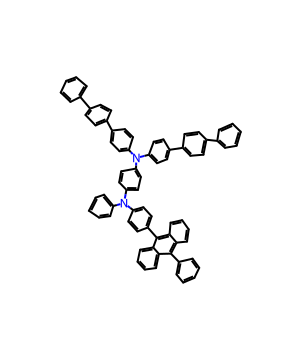 c1ccc(-c2ccc(-c3ccc(N(c4ccc(-c5ccc(-c6ccccc6)cc5)cc4)c4ccc(N(c5ccccc5)c5ccc(-c6c7ccccc7c(-c7ccccc7)c7ccccc67)cc5)cc4)cc3)cc2)cc1